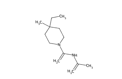 C=C(C)NC(=C)N1CCC(C)(CC)CC1